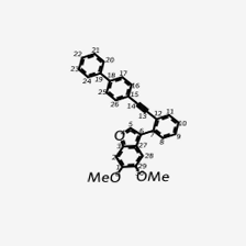 COc1cc2occ(-c3ccccc3C#Cc3ccc(-c4ccccc4)cc3)c2cc1OC